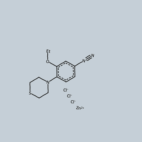 CCOc1cc([N+]#N)ccc1N1CCSCC1.[Cl-].[Cl-].[Cl-].[Zn+2]